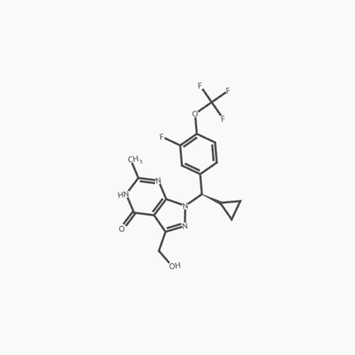 Cc1nc2c(c(CO)nn2[C@@H](c2ccc(OC(F)(F)F)c(F)c2)C2CC2)c(=O)[nH]1